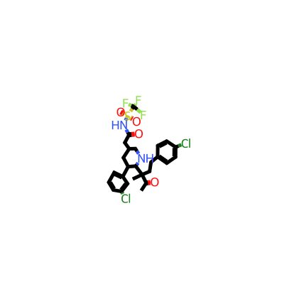 CC(=O)C(C)(CCc1ccc(Cl)cc1)C1NCC(CC(=O)NS(=O)(=O)C(F)(F)F)CC1c1cccc(Cl)c1